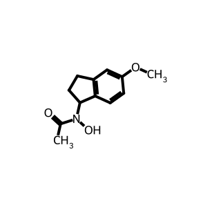 COc1ccc2c(c1)CCC2N(O)C(C)=O